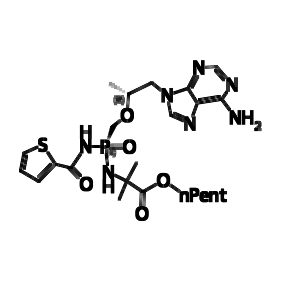 CCCCCOC(=O)C(C)(C)N[P@](=O)(CO[C@H](C)Cn1cnc2c(N)ncnc21)NC(=O)c1cccs1